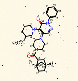 CCOC(=O)C1CCCN(c2c(N3CCN(C(=O)C4C[C@@H]5CC[C@H]4C5)CC3)cnn(-c3ccccc3)c2=O)C1